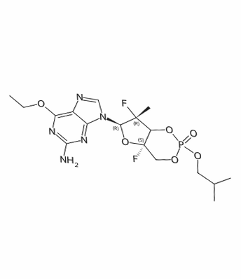 CCOc1nc(N)nc2c1ncn2[C@@H]1O[C@]2(F)COP(=O)(OCC(C)C)OC2[C@@]1(C)F